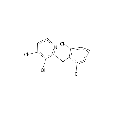 Oc1c(Cl)ccnc1Cc1c(Cl)cccc1Cl